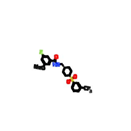 COc1cc(F)cc(C(=O)NC[C@H]2CC[C@@H](S(=O)(=O)c3cccc(C(F)(F)F)c3)CC2)c1